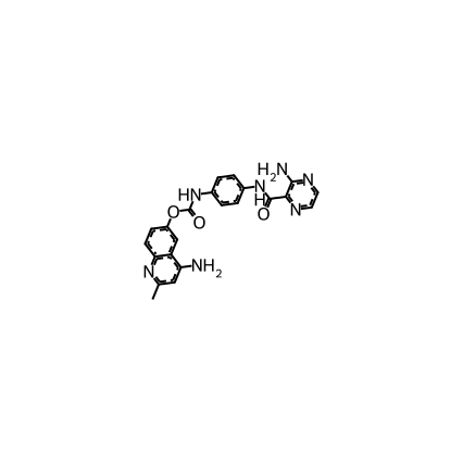 Cc1cc(N)c2cc(OC(=O)Nc3ccc(NC(=O)c4nccnc4N)cc3)ccc2n1